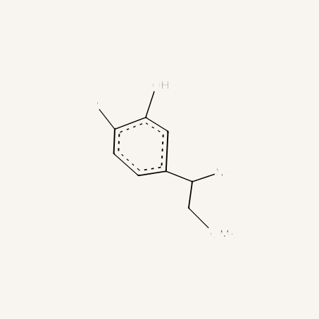 COCC(N)c1ccc(O)c(O)c1